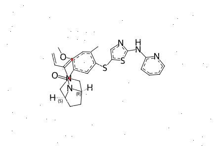 C=CC(=C)N1C[C@H]2CC[C@@H](C1)N2C(=O)c1cc(Sc2cnc(Nc3ccccn3)s2)c(C)cc1OC